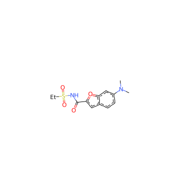 CCS(=O)(=O)NC(=O)c1cc2ccc(N(C)C)cc2o1